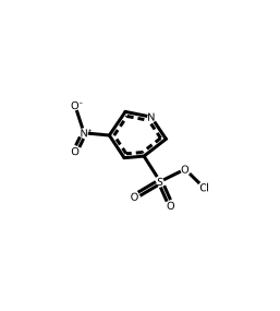 O=[N+]([O-])c1cncc(S(=O)(=O)OCl)c1